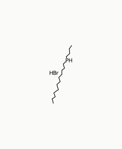 Br.CCCCCCCCCCCCPCCCC